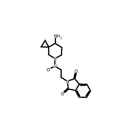 NC1CCN([S+]([O-])CCN2C(=O)c3ccccc3C2=O)CC12CC2